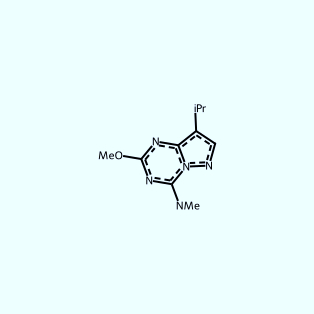 CNc1nc(OC)nc2c(C(C)C)cnn12